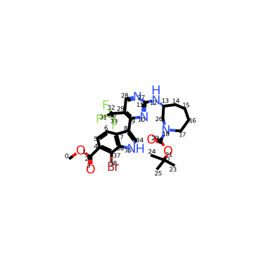 COC(=O)c1ccc2c(-c3nc(N[C@H]4CCCCN(C(=O)OC(C)(C)C)C4)ncc3C(F)(F)F)c[nH]c2c1Br